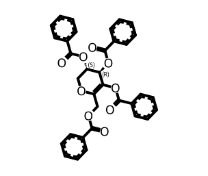 O=C(OCC1=C(OC(=O)c2ccccc2)[C@H](OC(=O)c2ccccc2)[C@@H](OC(=O)c2ccccc2)CO1)c1ccccc1